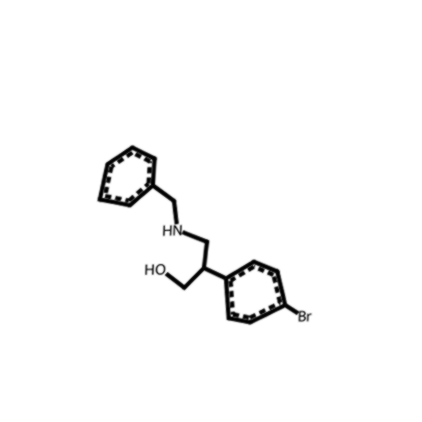 OCC(CNCc1ccccc1)c1ccc(Br)cc1